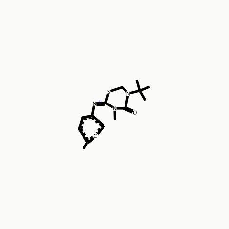 Cc1ccc(/N=C2/SCN(C(C)(C)C)C(=O)N2C)cc1